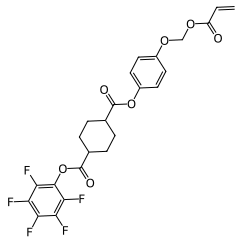 C=CC(=O)OCOc1ccc(OC(=O)C2CCC(C(=O)Oc3c(F)c(F)c(F)c(F)c3F)CC2)cc1